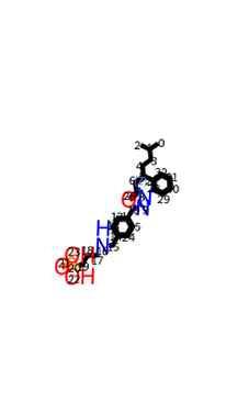 CC(C)CC/C(=C/c1nnc(-c2ccc(CNCCCP(=O)(O)O)cc2)o1)c1ccccc1